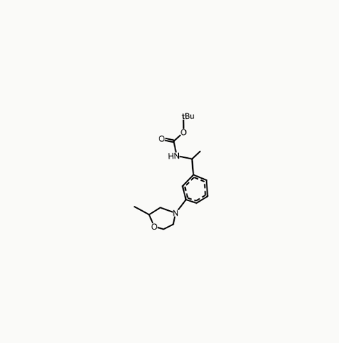 CC1CN(c2cccc(C(C)NC(=O)OC(C)(C)C)c2)CCO1